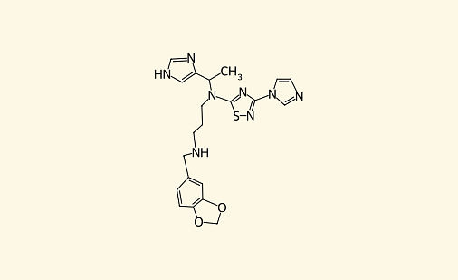 CC(c1c[nH]cn1)N(CCCNCc1ccc2c(c1)OCO2)c1nc(-n2ccnc2)ns1